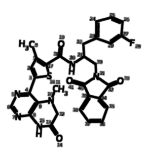 Cc1cc(-c2ncnc3c2N(C)CC(=O)N3)sc1C(=O)NC(Cc1cccc(F)c1)CN1C(=O)c2ccccc2C1=O